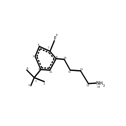 CC(C)(C)c1ccc(F)c(CCCCN)c1